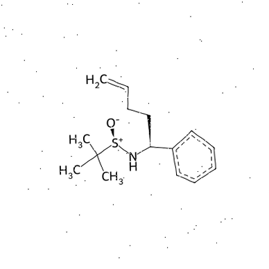 C=CCC[C@H](N[S@+]([O-])C(C)(C)C)c1ccccc1